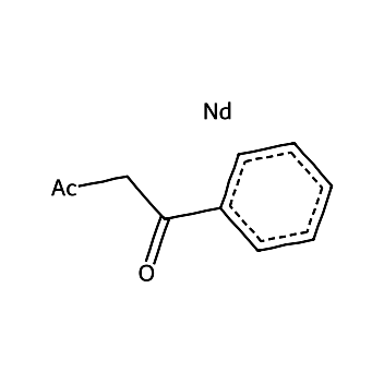 CC(=O)CC(=O)c1ccccc1.[Nd]